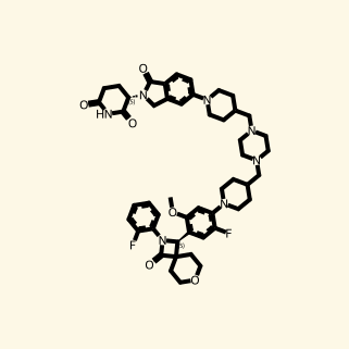 COc1cc(N2CCC(CN3CCN(CC4CCN(c5ccc6c(c5)CN([C@H]5CCC(=O)NC5=O)C6=O)CC4)CC3)CC2)c(F)cc1[C@@H]1N(c2ccccc2F)C(=O)C12CCOCC2